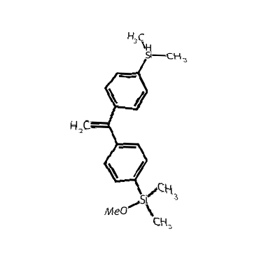 C=C(c1ccc([SiH](C)C)cc1)c1ccc([Si](C)(C)OC)cc1